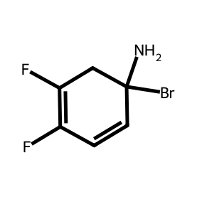 NC1(Br)C=CC(F)=C(F)C1